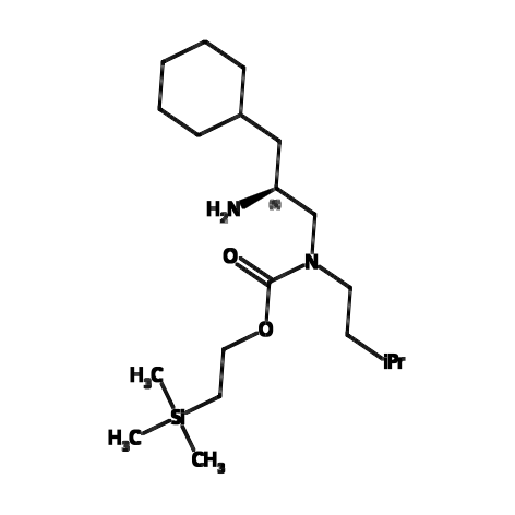 CC(C)CCN(C[C@@H](N)CC1CCCCC1)C(=O)OCC[Si](C)(C)C